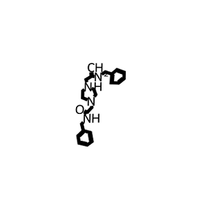 C=C(CN1CCN(CC(=O)NCc2ccccc2)CC1)NCc1ccccc1